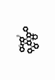 Cc1ccccc1N(c1cc2c3c(c1)-n1c4c(cc(C(C)(C)C)cc4c4oc5ccccc5c41)B3c1cc(-c3ccccc3)cc3c1N2C1(C)CCCCC31C)c1ccccc1C